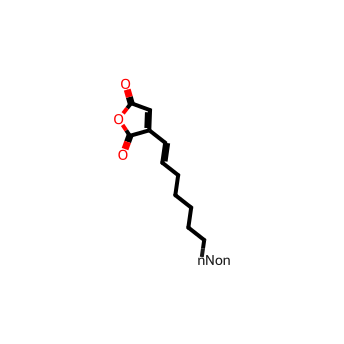 CCCCCCCCCCCCCC/C=C/C1=CC(=O)OC1=O